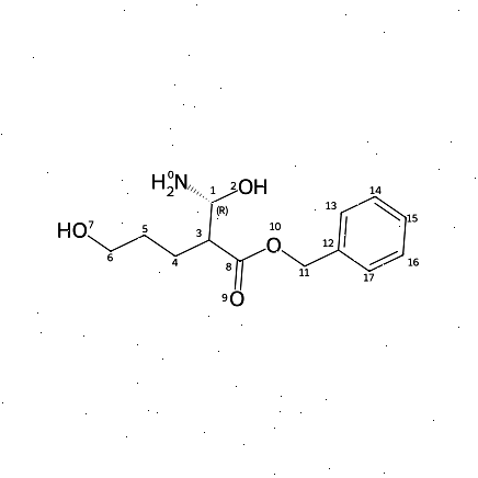 N[C@H](O)C(CCCO)C(=O)OCc1ccccc1